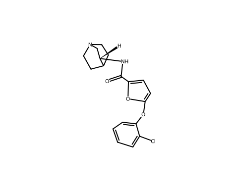 O=C(N[C@H]1CN2CCC1CC2)c1ccc(Oc2ccccc2Cl)o1